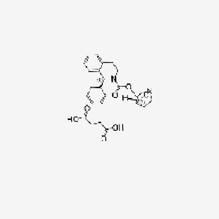 O=C(O)CCC(=O)O.O=C(O[C@@H]1CN2CCC1CC2)N1CCc2ccccc2[C@@H]1c1ccccc1